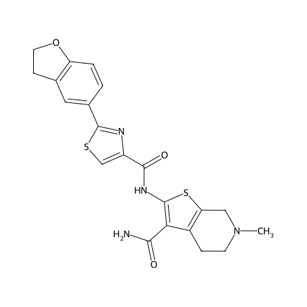 CN1CCc2c(sc(NC(=O)c3csc(-c4ccc5c(c4)CCO5)n3)c2C(N)=O)C1